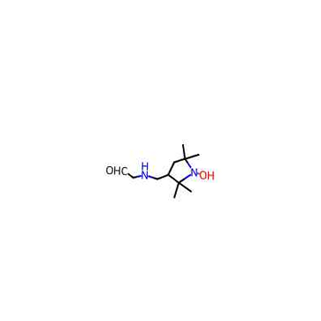 CC1(C)CC(CNCC=O)C(C)(C)N1O